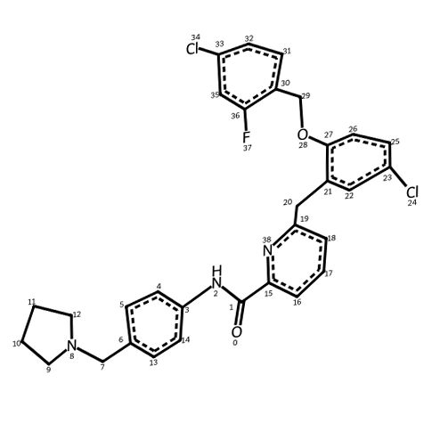 O=C(Nc1ccc(CN2CCCC2)cc1)c1cccc(Cc2cc(Cl)ccc2OCc2ccc(Cl)cc2F)n1